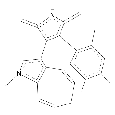 C=c1[nH]c(=C)c(-c2cn(C)c3c2C=CCC=C3)c1-c1cc(C)c(C)cc1C